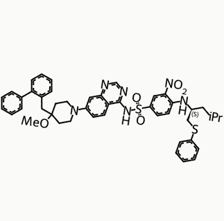 COC1(Cc2ccccc2-c2ccccc2)CCN(c2ccc3c(NS(=O)(=O)c4ccc(N[C@H](CSc5ccccc5)CC(C)C)c([N+](=O)[O-])c4)ncnc3c2)CC1